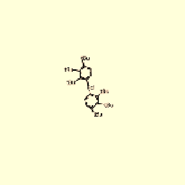 CC(C)(C)c1cc[c]([Pd][c]2ccc(C(C)(C)C)c(C(C)(C)C)c2C(C)(C)C)c(C(C)(C)C)c1C(C)(C)C